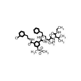 CCNC(=O)[C@@H](NC(=O)[C@H](C)NC[C@H](Cc1ccccc1)NC(=O)c1cc(C(=O)NCCc2cccc(Cl)c2)cc(N(C)S(C)(=O)=O)c1)C(C)C